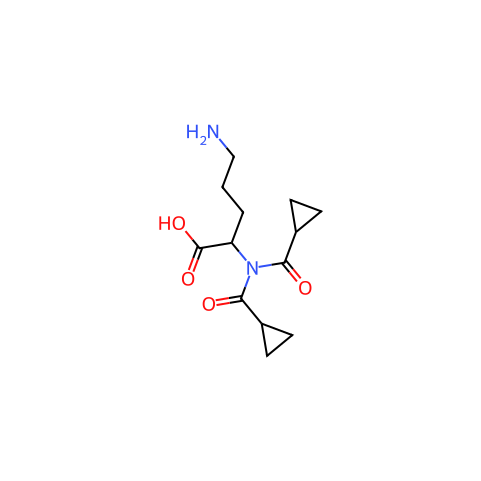 NCCCC(C(=O)O)N(C(=O)C1CC1)C(=O)C1CC1